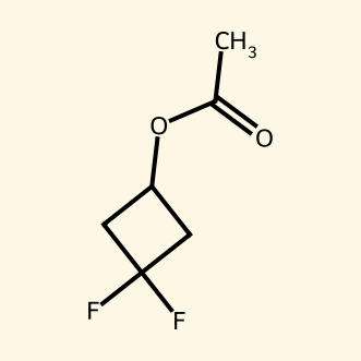 CC(=O)OC1CC(F)(F)C1